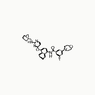 O=C(Nc1ccc(Oc2ccnc(NCC3CCCO3)n2)c2ccccc12)c1cc(F)cc(N2CCOCC2)c1